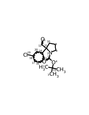 CC(C)(C)OC(=O)N1CCCC1(C=O)c1cccc(Cl)c1